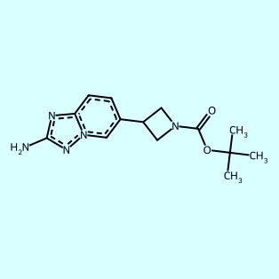 CC(C)(C)OC(=O)N1CC(c2ccc3nc(N)nn3c2)C1